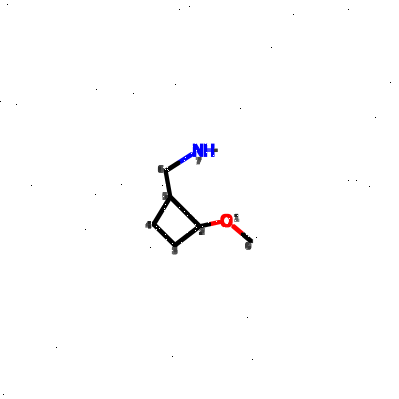 COC1CCC1C[NH]